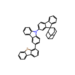 c1ccc2c(c1)-c1ccc(-n3c4ccccc4c4cc(-c5cccc6c5sc5ccccc56)ccc43)cc1C21C2CC3CC(C2)CC1C3